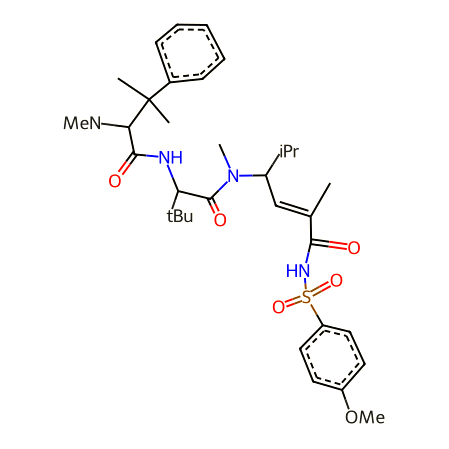 CNC(C(=O)NC(C(=O)N(C)C(C=C(C)C(=O)NS(=O)(=O)c1ccc(OC)cc1)C(C)C)C(C)(C)C)C(C)(C)c1ccccc1